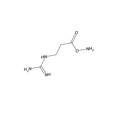 N=C(N)NCCC(=O)ON